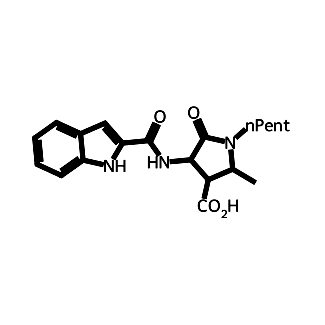 CCCCCN1C(=O)C(NC(=O)c2cc3ccccc3[nH]2)C(C(=O)O)C1C